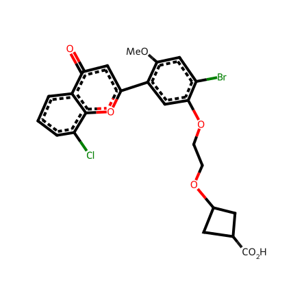 COc1cc(Br)c(OCCOC2CC(C(=O)O)C2)cc1-c1cc(=O)c2cccc(Cl)c2o1